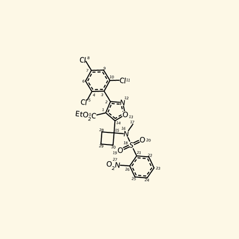 CCOC(=O)c1c(-c2c(Cl)cc(Cl)cc2Cl)noc1C1(N(C)S(=O)(=O)c2ccccc2[N+](=O)[O-])CCC1